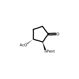 CCCCC[C@@H]1C(=O)CC[C@H]1OC(C)=O